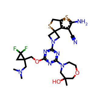 CN(C)CC1(COc2nc(N3CCOCC(C)(O)C3)nc(N3CC4(C3)SCc3sc(N)c(C#N)c34)n2)CC1(F)F